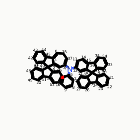 C1=C2C(=CC(N(c3ccccc3)c3ccc4c(c3)C3(c5ccccc5-c5ccccc53)c3ccccc3-4)=CC1)C1(c3ccccc32)c2ccccc2-c2ccccc21